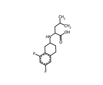 CC(C)CC(NC1CCc2cc(F)cc(F)c2C1)C(=O)O